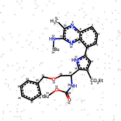 CCOC(=O)c1cc(-c2cccc3nc(C)c(NC(C)(C)C)nc23)[nH]c1C(COCc1ccccc1)NC(=O)OC(C)(C)C